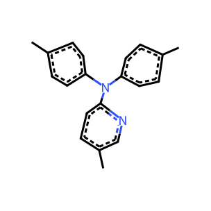 Cc1ccc(N(c2ccc(C)cc2)c2ccc(C)cn2)cc1